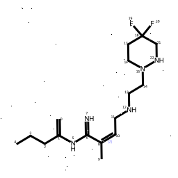 C=C(CCC)NC(=N)/C(C)=C\CNCCN1CCC(F)(F)CN1